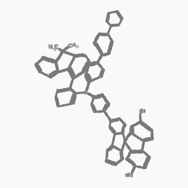 CC(C)(C)c1ccc2c(c1)C1(c3ccccc3-c3cc(-c4ccc(N(c5ccc(-c6ccc(-c7ccccc7)cc6)cc5)c5ccccc5-c5cccc6c5-c5ccccc5C6(C)C)cc4)ccc31)c1cc(C(C)(C)C)ccc1-2